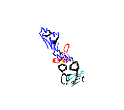 CCC(F)(F)c1ccc(CNC(=O)[C@H]2CN(c3cnc4cncnc4n3)CCN2S(=O)(=O)c2ccc(C(F)(F)F)cc2)cc1